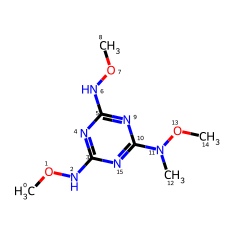 CONc1nc(NOC)nc(N(C)OC)n1